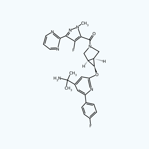 Cn1nc(-c2ncccn2)c(F)c1C(=O)N1C[C@@H]2[C@H](C1)[C@@H]2Oc1cc(C(C)(C)N)cc(-c2ccc(F)cc2)n1